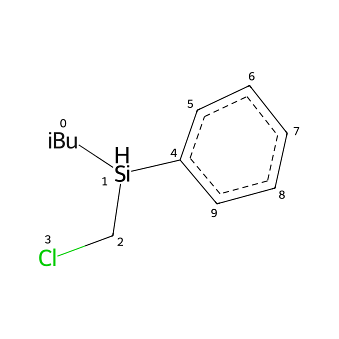 CCC(C)[SiH](CCl)c1ccccc1